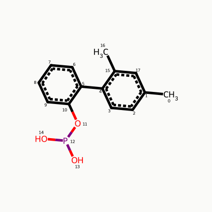 Cc1ccc(-c2ccccc2OP(O)O)c(C)c1